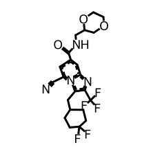 N#Cc1cc(C(=O)NCC2COCCO2)cc2nc(C(F)(F)F)c(CC3CCC(F)(F)CC3)n12